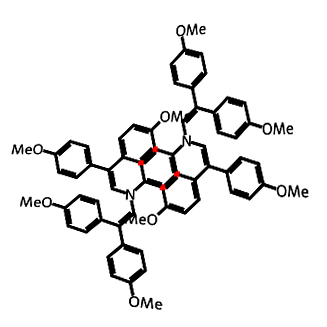 COc1ccc(C(=CN(C=C(c2ccc(OC)cc2)c2ccc(OC)cc2)c2ccc(N(C=C(c3ccc(OC)cc3)c3ccc(OC)cc3)C=C(c3ccc(OC)cc3)c3ccc(OC)cc3)cc2)c2ccc(OC)cc2)cc1